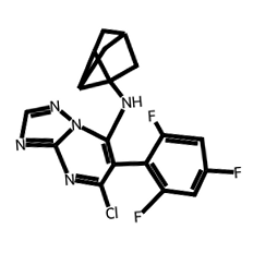 Fc1cc(F)c(-c2c(Cl)nc3ncnn3c2NC23CC4CC2C3C4)c(F)c1